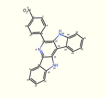 O=[N+]([O-])c1ccc(-c2nc3c4ccccc4[nH]c3c3c2[nH]c2ccccc23)cc1